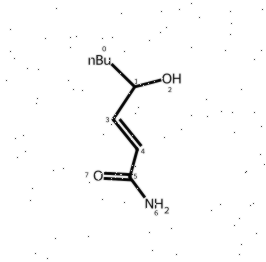 CCCCC(O)C=CC(N)=O